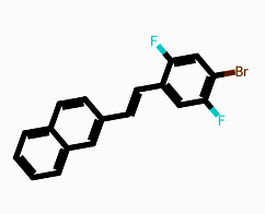 Fc1cc(/C=C/c2ccc3ccccc3c2)c(F)cc1Br